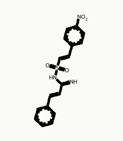 N=C(/C=C/c1ccccc1)NS(=O)(=O)C=Cc1ccc([N+](=O)[O-])cc1